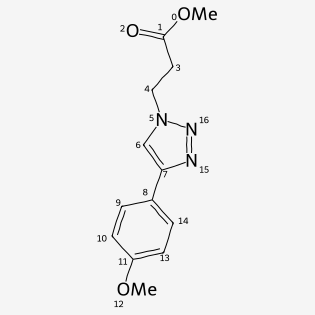 COC(=O)CCn1cc(-c2ccc(OC)cc2)nn1